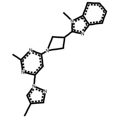 Cc1cnn(-c2cc(N3CC(c4nc5ccccc5n4C)C3)nc(C)n2)c1